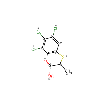 CC(Sc1cc(Cl)c(Cl)c(Cl)c1)C(=O)O